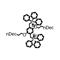 CCCCCCCCCCCCOc1cc(CP(Br)(c2ccccc2)(c2ccccc2)c2ccccc2)c(OCCCCCCCCCCCC)cc1CP(Br)(c1ccccc1)(c1ccccc1)c1ccccc1